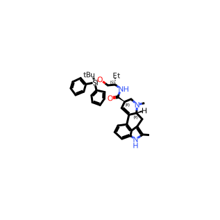 CC[C@@H](CO[Si](c1ccccc1)(c1ccccc1)C(C)(C)C)NC(=O)[C@@H]1C=C2c3cccc4[nH]c(C)c(c34)C[C@H]2N(C)C1